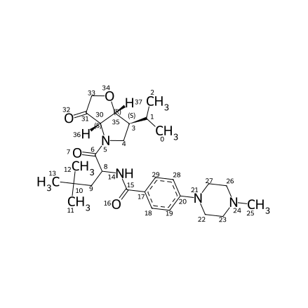 CC(C)[C@H]1CN(C(=O)C(CC(C)(C)C)NC(=O)c2ccc(N3CCN(C)CC3)cc2)[C@@H]2C(=O)CO[C@H]12